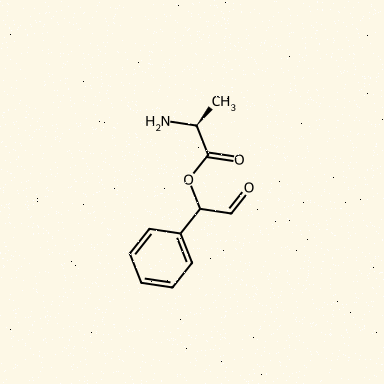 C[C@H](N)C(=O)OC(C=O)c1ccccc1